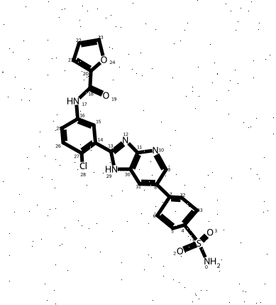 NS(=O)(=O)c1ccc(-c2cnc3nc(-c4cc(NC(=O)c5ccco5)ccc4Cl)[nH]c3c2)cc1